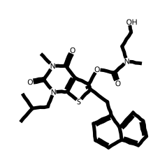 CC(C)Cn1c(=O)n(C)c(=O)c2c(OC(=O)N(C)CCO)c(Cc3cccc4ccccc34)sc21